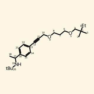 CCC(C)(C)COCCCOCC#Cc1ccc(C(C)NC(C)(C)C)cc1